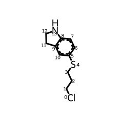 ClCCCSc1ccc2c(c1)CCN2